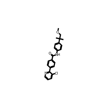 COCC(C)(C)c1ccc(NC(=O)c2ccc(-c3ncccc3Cl)cc2)cc1